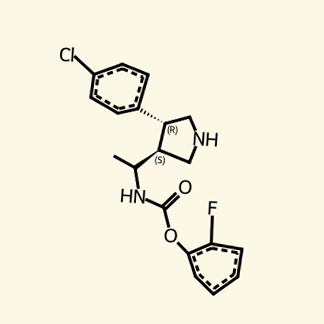 CC(NC(=O)Oc1ccccc1F)[C@@H]1CNC[C@H]1c1ccc(Cl)cc1